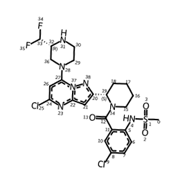 CS(=O)(=O)Nc1ccc(Cl)cc1C(=O)N1CCCC[C@H]1c1cc2nc(Cl)cc(N3CCN[C@@H](C(F)F)C3)n2n1